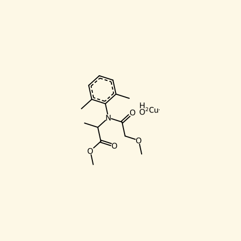 COCC(=O)N(c1c(C)cccc1C)C(C)C(=O)OC.O.[Cu]